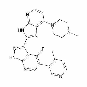 Cc1ccncc1-c1cnc2[nH]nc(-c3nc4c(N5CCN(C)CC5)ccnc4[nH]3)c2c1F